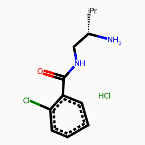 CC(C)[C@H](N)CNC(=O)c1ccccc1Cl.Cl